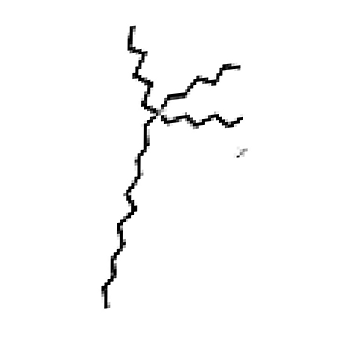 CCCCCCCCCCCC[P+](CCCCCC)(CCCCCC)CCCCCC.[Br-]